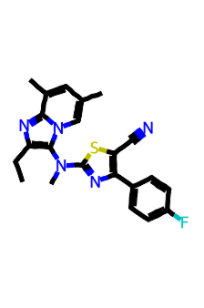 CCc1nc2c(C)cc(C)cn2c1N(C)c1nc(-c2ccc(F)cc2)c(C#N)s1